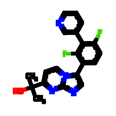 CC(C)(O)c1ccn2c(-c3ccc(F)c(-c4cccnc4)c3F)cnc2n1